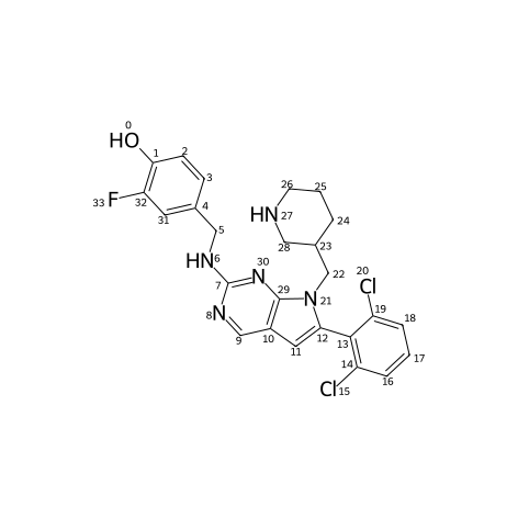 Oc1ccc(CNc2ncc3cc(-c4c(Cl)cccc4Cl)n(CC4CCCNC4)c3n2)cc1F